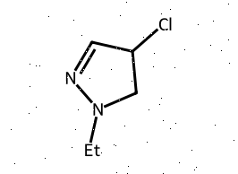 CCN1CC(Cl)C=N1